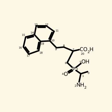 CC(N)P(=O)(O)CC(CCc1cccc2ccccc12)C(=O)O